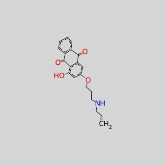 C=CCNCCCOc1cc(O)c2c(c1)C(=O)c1ccccc1C2=O